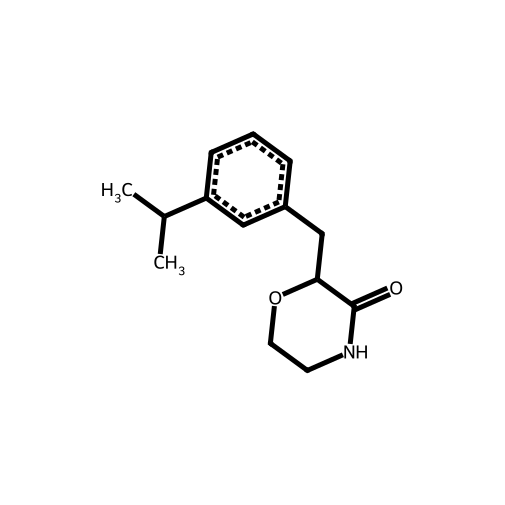 CC(C)c1cccc(CC2OCCNC2=O)c1